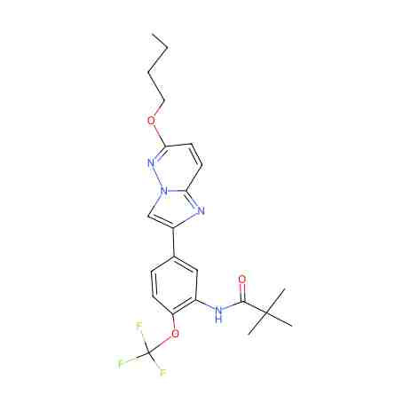 CCCCOc1ccc2nc(-c3ccc(OC(F)(F)F)c(NC(=O)C(C)(C)C)c3)cn2n1